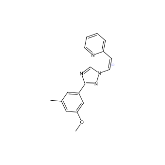 COc1cc(C)cc(-c2ncn(/C=C\c3ccccn3)n2)c1